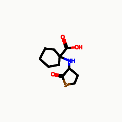 O=C1SCCC1NC1(C(=O)O)CCCCC1